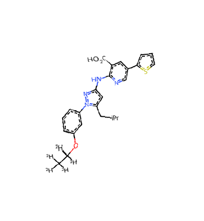 [2H]C([2H])([2H])C([2H])([2H])Oc1cccc(-n2nc(Nc3ncc(-c4cccs4)cc3C(=O)O)cc2CC(C)C)c1